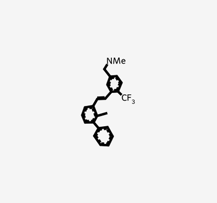 CNCc1ccc(C(F)(F)F)c(/C=C/c2cccc(-c3ccccc3)c2C)c1